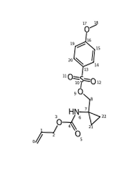 C=CCOC(=O)NC1(COS(=O)(=O)c2ccc(OC)cc2)CC1